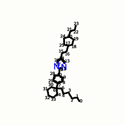 CCCCCCC1(c2ccc(-c3ncc(CCC4CCC(CCC)CC4)cn3)cc2)CCCCC1